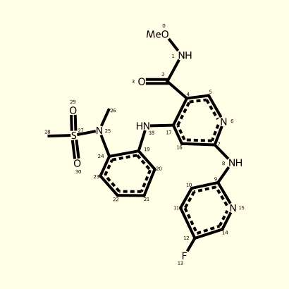 CONC(=O)c1cnc(Nc2ccc(F)cn2)cc1Nc1ccccc1N(C)S(C)(=O)=O